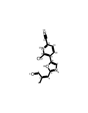 CC(C=O)=Cc1ncc(-c2ccc(C#N)nc2Cl)o1